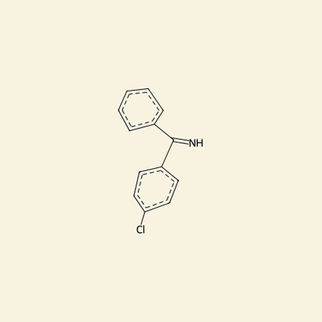 N=C(c1ccccc1)c1ccc(Cl)cc1